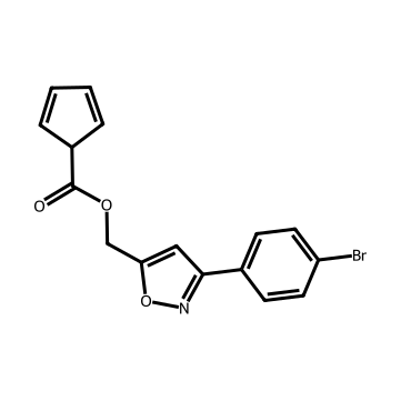 O=C(OCc1cc(-c2ccc(Br)cc2)no1)C1C=CC=C1